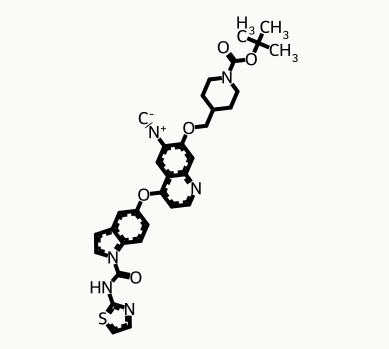 [C-]#[N+]c1cc2c(Oc3ccc4c(ccn4C(=O)Nc4nccs4)c3)ccnc2cc1OCC1CCN(C(=O)OC(C)(C)C)CC1